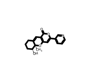 C[C@@]12Oc3cc(-c4cccnc4)oc(=O)c3C=C1CCC[C@H]2O